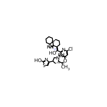 C[C@H](Oc1cc(Cl)nc(/C(O)=C2\CCC[C@@]3(CCCCC3=O)C2=N)n1)[C@@H]1CC(c2csc(O)n2)CN1C